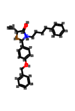 CCCCC1SC(c2ccc(OCc3ccccc3)cc2)N(CCCCc2ccccc2)C1=O